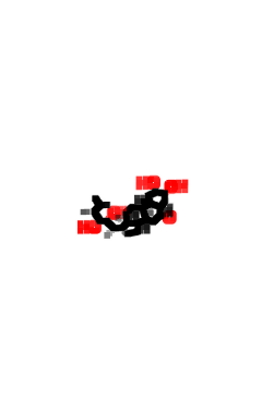 CC(C)[C@@H](C)[C@@H](O)[C@H](O)[C@@H](C)[C@H]1CC[C@H]2[C@H]3CC(=O)[C@H]4C[C@H](O)[C@H](O)C[C@]4(C)[C@@H]3CC[C@]12C